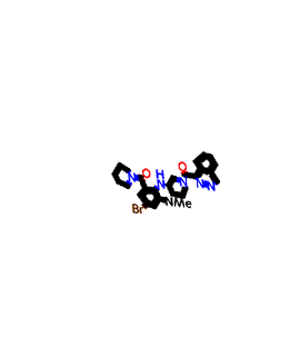 CNc1cc(Br)cc(C(=O)N2CCCCC2)c1N[C@@H]1CCCN(C(=O)c2nncc3ccccc23)C1